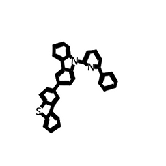 c1ccc(-c2cccc(-n3c4ccccc4c4cc(-c5ccc6sc7ccccc7c6c5)ccc43)n2)cc1